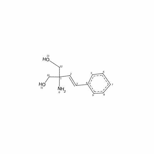 NC(C=Cc1ccccc1)(CO)CO